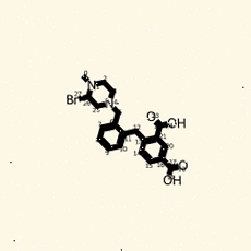 CN1CCN(Cc2ccccc2Cc2ccc(C(=O)O)cc2C(=O)O)CC1Br